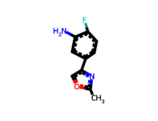 Cc1nc(-c2ccc(F)c(N)c2)co1